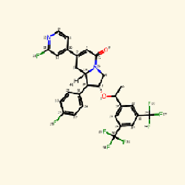 CC(O[C@H]1CN2C(=O)C=C(c3ccnc(F)c3)C[C@H]2C1c1ccc(F)cc1)c1cc(C(F)(F)F)cc(C(F)(F)F)c1